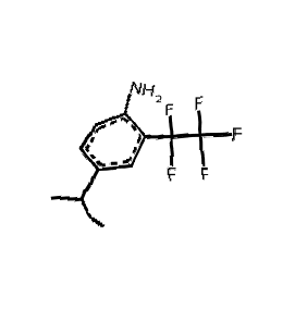 CC(C)c1ccc(N)c(C(F)(F)C(F)(F)F)c1